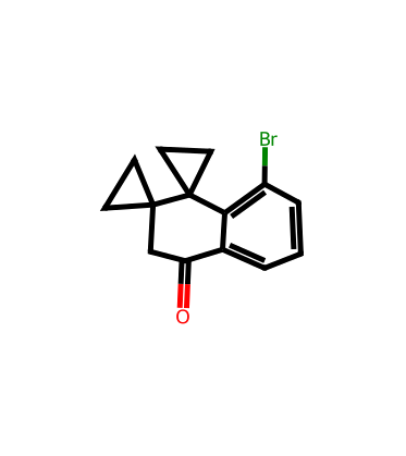 O=C1CC2(CC2)C2(CC2)c2c(Br)cccc21